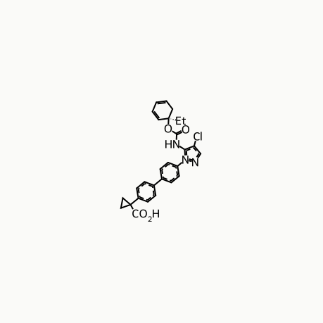 CC[C@]1(OC(=O)Nc2c(Cl)cnn2-c2ccc(-c3ccc(C4(C(=O)O)CC4)cc3)cc2)C=CC=CC1